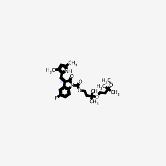 COC(C)(C)CCOC(C)(C)CCOC(=O)N1C(=O)/C(=C\c2[nH]c(C)cc2C)c2cc(F)ccc21